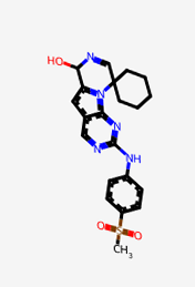 CS(=O)(=O)c1ccc(Nc2ncc3cc4n(c3n2)C2(C=NC4O)CCCCC2)cc1